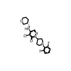 O=c1c(Cl)c(NC[C@H]2CCCOC2)cnn1C1CCN(c2c(F)cccc2F)CC1